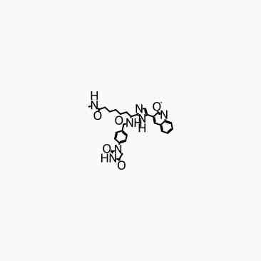 CNC(=O)CCCCCC(NC(=O)c1ccc(N2CC(=O)NC2=O)cc1)c1ncc(-c2cc3ccccc3nc2OC)[nH]1